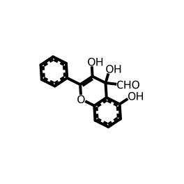 O=CC1(O)C(O)=C(c2ccccc2)Oc2cccc(O)c21